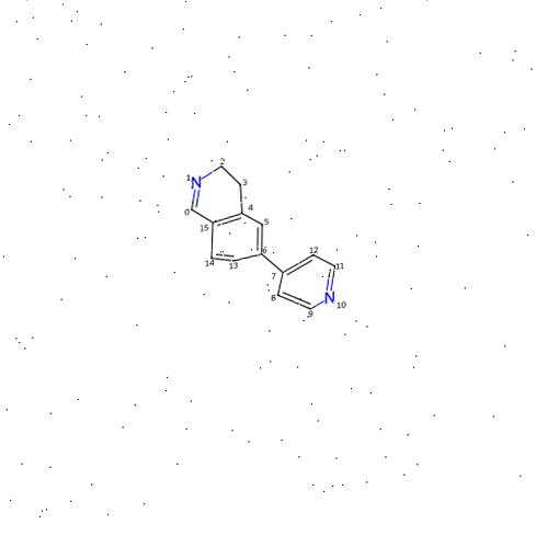 C1=NCCc2cc(-c3ccncc3)ccc21